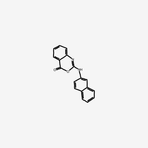 O=c1oc(Nc2ccc3ccccc3c2)nc2ccccc12